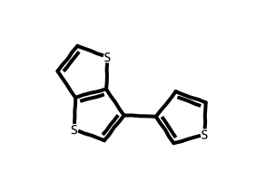 c1cc(-c2csc3ccsc23)cs1